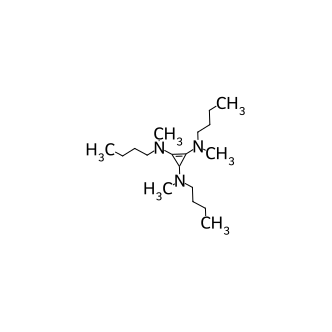 CCCCN(C)C1=C(N(C)CCCC)C1N(C)CCCC